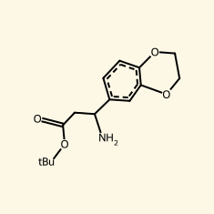 CC(C)(C)OC(=O)CC(N)c1ccc2c(c1)OCCO2